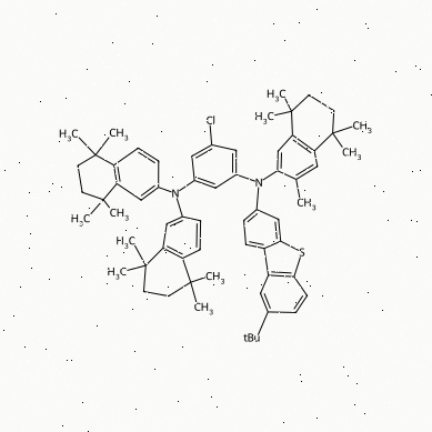 Cc1cc2c(cc1N(c1cc(Cl)cc(N(c3ccc4c(c3)C(C)(C)CCC4(C)C)c3ccc4c(c3)C(C)(C)CCC4(C)C)c1)c1ccc3c(c1)sc1ccc(C(C)(C)C)cc13)C(C)(C)CCC2(C)C